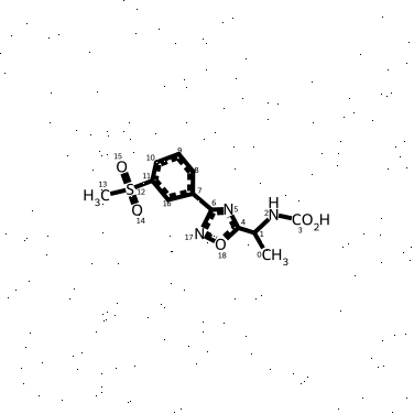 CC(NC(=O)O)c1nc(-c2cccc(S(C)(=O)=O)c2)no1